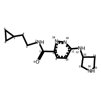 O=C(NCCC1CC1)c1ccc(NC2CCNC2)nn1